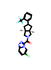 O=C(c1nnc2ccc(Cl)cn12)N1C[C@H]2CC(c3ccccc3C(F)(F)F)C[C@H]2C1